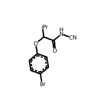 CC(C)C(Oc1ccc(Br)cc1)C(=O)NC#N